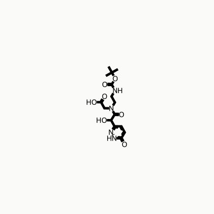 CC(C)(C)OC(=O)NCCN(CC(=O)O)C(=O)C(O)c1ccc(=O)[nH]n1